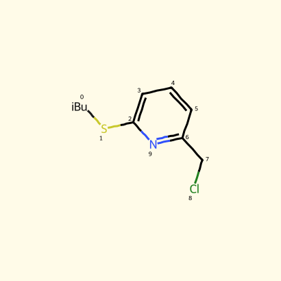 CCC(C)Sc1cccc(CCl)n1